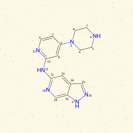 c1cc(N2CCNCC2)cc(Nc2cc3cn[nH]c3cn2)n1